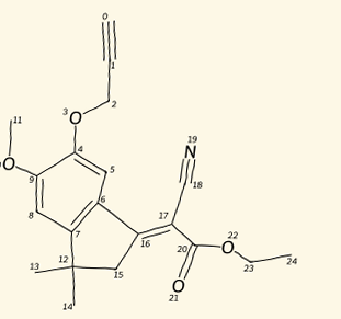 C#CCOc1cc2c(cc1OC)C(C)(C)C/C2=C(/C#N)C(=O)OCC